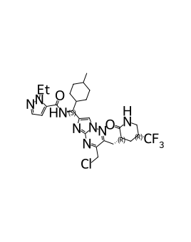 CCn1nccc1C(=O)N[C@H](c1cn2nc(C[C@H]3C[C@@H](C(F)(F)F)CNC3=O)c(CCl)nc2n1)C1CCC(C)CC1